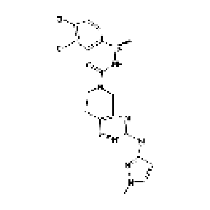 C[C@@H](NC(=O)N1CCc2cnc(Nc3ccn(C)n3)nc2C1)c1ccc(Cl)c(Cl)c1